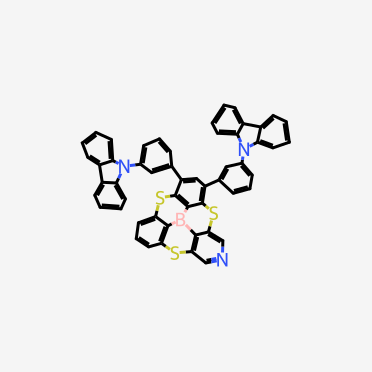 c1cc(-c2cc(-c3cccc(-n4c5ccccc5c5ccccc54)c3)c3c4c2Sc2cccc5c2B4c2c(cncc2S3)S5)cc(-n2c3ccccc3c3ccccc32)c1